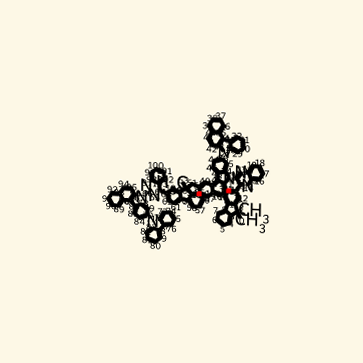 CC1(C)c2ccccc2-c2ccc(-c3nc4ccccc4nc3-n3c4cc(-n5c6ccccc6c6c7ccccc7ccc65)ccc4c4c5cc(CC6(C)c7ccccc7-c7ccc(-c8nc(-n9c%10cc(-n%11c%12ccccc%12c%12ccccc%12%11)ccc%10c%10c%11ccccc%11ccc%109)nc9ccccc89)cc76)ccc5ccc43)cc21